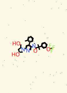 Cc1ccccc1-c1cc(N2CC(O)CC2CO)ncc1N(C)C(=O)C(C)(C)c1cccc(OC(F)(F)F)c1